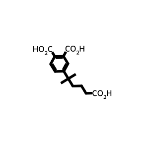 CC(C)(CCCC(=O)O)c1ccc(C(=O)O)c(C(=O)O)c1